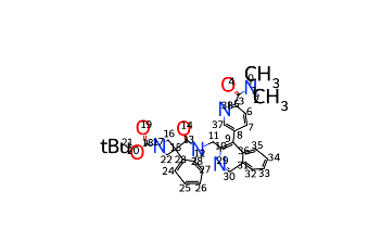 CN(C)C(=O)c1ccc(-c2c(CN3C(=O)C4(CN(C(=O)OC(C)(C)C)C4)c4ccccc43)ncc3ccccc23)cn1